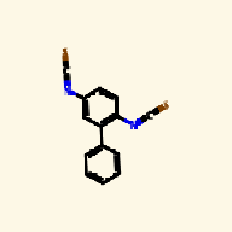 S=C=Nc1ccc(N=C=S)c(-c2ccccc2)c1